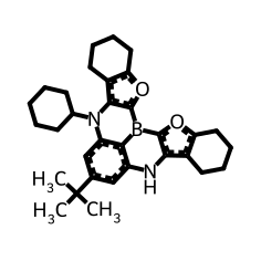 CC(C)(C)c1cc2c3c(c1)N(C1CCCCC1)c1c(oc4c1CCCC4)B3c1oc3c(c1N2)CCCC3